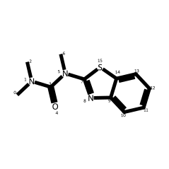 CN(C)C(=O)N(C)c1nc2ccccc2s1